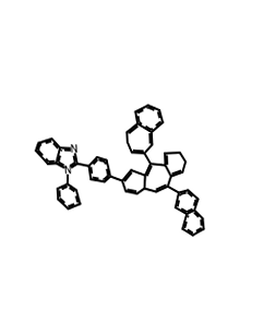 C1=CC2C=C(c3ccc4ccccc4c3)C3=CCCC=C3C(C3=CCC=c4ccccc4=C3)=C2C=C1c1ccc(-c2nc3ccccc3n2-c2ccccc2)cc1